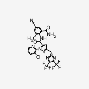 Cc1cc(C#N)cc(C(N)=O)c1NC(=O)c1cc(Cn2nc(C(F)(F)F)c(C(F)(F)F)n2)nn1-c1ncccc1Cl